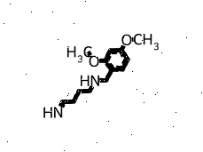 COc1ccc(CNCCCC=N)c(OC)c1